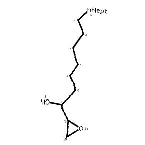 CCCCCCCCCCCCCC(O)C1CO1